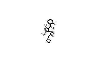 Cc1nn(C)c(-n2ccnc2CN2CCCC2)c1C(=O)c1ccccc1Cl